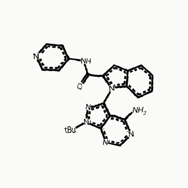 CC(C)(C)n1nc(-n2c(C(=O)Nc3ccncc3)cc3ccccc32)c2c(N)ncnc21